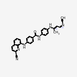 C#C/N=C\C=C(/C)Nc1ccc(NC(=O)c2ccc(Nc3cccc4ccc(C#N)nc34)cc2)cc1